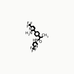 CCC(C(=O)Nc1ccc(C(F)(F)F)nc1)=C1CCC(c2ccc(C(F)(F)F)nc2N)CC1